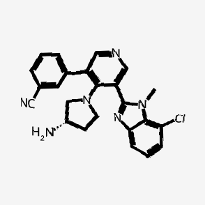 Cn1c(-c2cncc(-c3cccc(C#N)c3)c2N2CC[C@H](N)C2)nc2cccc(Cl)c21